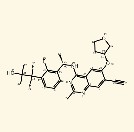 C#Cc1cc2nc(C)nc(N[C@H](C)c3cccc(C(F)(F)C(C)(C)O)c3F)c2cc1O[C@H]1CCOC1